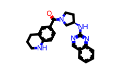 O=C(c1ccc2c(c1)CCCN2)N1CC[C@@H](Nc2ncc3ccccc3n2)C1